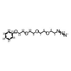 [N-]=[N+]=NCCOCCOCCOCCOc1ccccc1